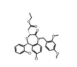 CCOC(=O)C[C@H]1O[C@H](c2ccccc2Cl)c2cc(Cl)ccc2N(Cc2ccc(OC)cc2OC)C1=O